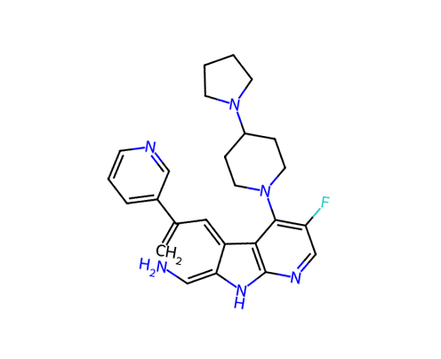 C=C(/C=c1\c(=C/N)[nH]c2ncc(F)c(N3CCC(N4CCCC4)CC3)c12)c1cccnc1